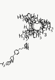 COc1ccc(-c2ccc(CCCCn3cc(CCN(C)[C@H]4C[C@@H](C)O[C@@H](O[C@@H]5[C@@H](C)[C@H](O[C@H]6C[C@@](C)(OC)[C@@H](O)[C@H](C)O6)[C@@H](C)C(=O)O[C@H](I)[C@@](C)(O)[C@H](O)[C@@H](C)N(C)C[C@H](C)C[C@@]5(C)O)[C@@H]4O)nn3)cc2)cn1